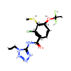 CCn1nnnc1NC(=O)c1ccc(OC(C)(F)F)c(SC)c1Cl